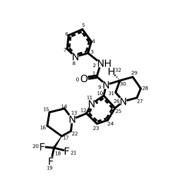 O=C(Nc1ccccn1)N1c2nc(N3CCC[C@H](C(F)(F)F)C3)ccc2N2CCC[C@H]1C2